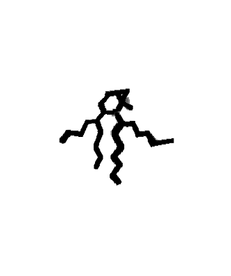 CCCCCCC(CCCCC)N1C(C(CCCC)CCCC)CCC2C[C@@]21C